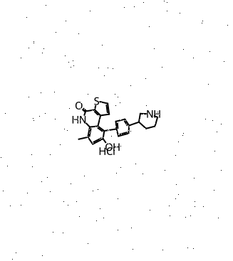 Cc1cc(O)c(-c2ccc(C3CCCNC3)cc2)c2c1[nH]c(=O)c1sccc12.Cl